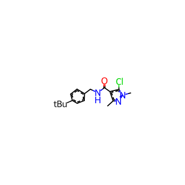 Cc1nn(C)c(Cl)c1C(=O)NCc1ccc(C(C)(C)C)cc1